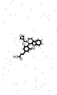 O=C(O)/C=C/c1cc(F)c(C2c3[nH]c4ccccc4c3CCN2CC2COC2)c(F)c1